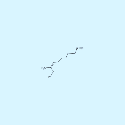 CCCCCCCCCCCCN=C(C)CC(C)C